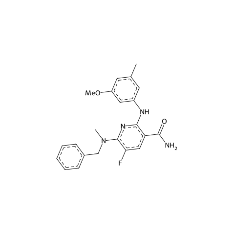 COc1cc(C)cc(Nc2nc(N(C)Cc3ccccc3)c(F)cc2C(N)=O)c1